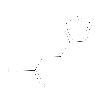 CC(=O)SCc1nnn[nH]1